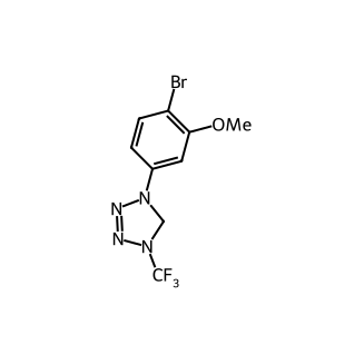 COc1cc(N2CN(C(F)(F)F)N=N2)ccc1Br